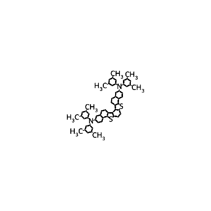 Cc1cc(C)cc(N(c2cc(C)cc(C)c2)c2ccc3c(ccc4c3sc3ccc5sc6c7ccc(N(c8cc(C)cc(C)c8)c8cc(C)cc(C)c8)cc7ccc6c5c34)c2)c1